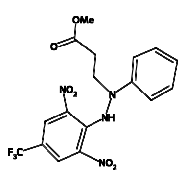 COC(=O)CCN(Nc1c([N+](=O)[O-])cc(C(F)(F)F)cc1[N+](=O)[O-])c1ccccc1